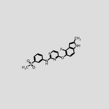 Cc1cc2c(F)c(Oc3ccnc(Nc4cccc(S(C)(=O)=O)c4)n3)ccc2[nH]1